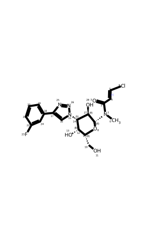 CN(C(=O)/C=C/Cl)[C@@H]1O[C@H](CO)[C@H](O)[C@H](n2cc(-c3cccc(F)c3)nn2)[C@H]1O